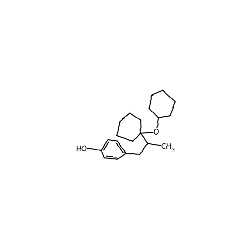 CC(Cc1ccc(O)cc1)C1(OC2CCCCC2)CCCCC1